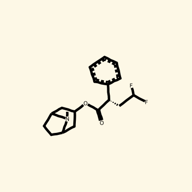 CN1C2CCC1CC(OC(=O)[C@@H](CC(F)F)c1ccccc1)C2